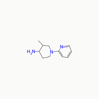 CC1CN(c2ccccn2)CCC1N